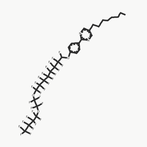 CCCCCCCCc1cnc(-c2ccc(OC(F)C(F)(F)C(F)(F)C(F)(F)C(F)(F)C(F)(F)C(F)(F)C(F)(F)OC(F)(F)C(F)(F)OC(F)(F)C(F)(F)C(F)(F)C(F)(F)F)cc2)nc1